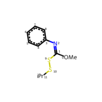 COC(=Nc1ccccc1)SSC(C)C